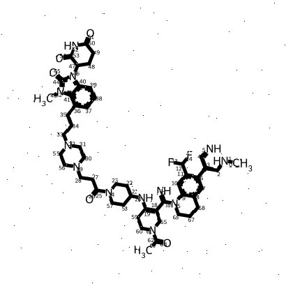 CNCC(C=N)c1cc2c(cc1C(F)F)N(C(=N)C1=C(NC3CCN(C(=O)CCN4CCN(CCCc5cccc6c5n(C)c(=O)n6C5CCC(=O)NC5=O)CC4)CC3)CCN(C(C)=O)C1)CCC2